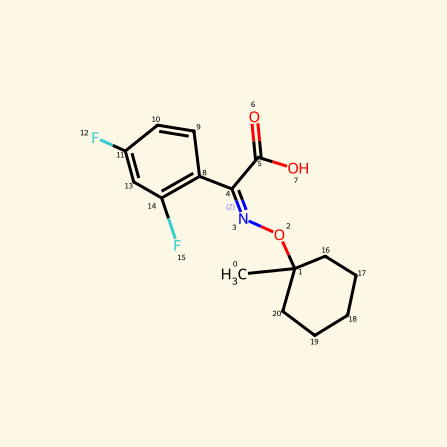 CC1(O/N=C(\C(=O)O)c2ccc(F)cc2F)CCCCC1